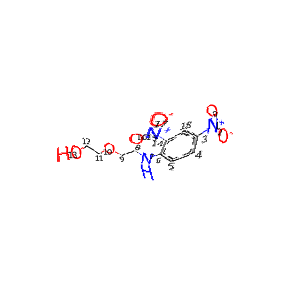 O=[N+]([O-])c1ccc(NCCOCCO)c([N+](=O)[O-])c1